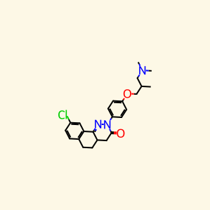 CC(COc1ccc(N2N=C3c4cc(Cl)ccc4CCC3CC2=O)cc1)CN(C)C